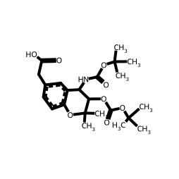 CC(C)(C)OC(=O)NC1c2cc(CC(=O)O)ccc2OC(C)(C)C1OC(=O)OC(C)(C)C